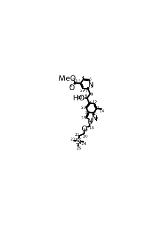 COC(=O)c1ccnc(CC(O)c2cc(C)c3nn(COCC[Si](C)(C)C)cc3c2)c1